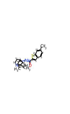 Cc1ccc2cc(C(=O)N[C@@H]3C4CCN(CC4)C3(C)C)sc2c1